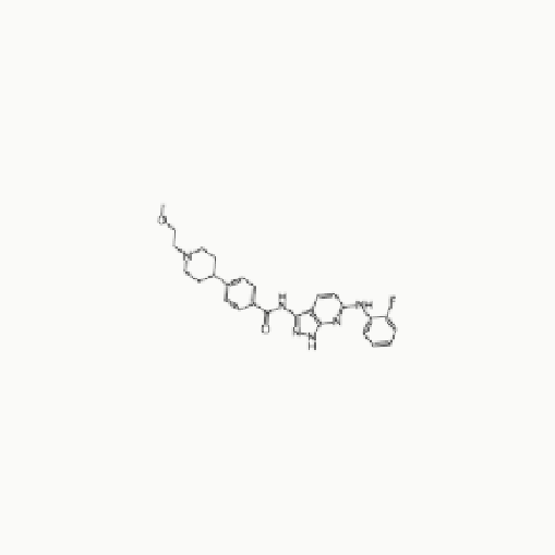 COCCN1CCC(c2ccc(C(=O)Nc3n[nH]c4nc(Nc5ccccc5F)ccc34)cc2)CC1